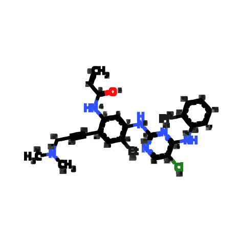 C=CC(=O)Nc1cc(Nc2ncc(Cl)c(Nc3ccccc3C(C)C)n2)c(CC)cc1C#CCN(C)C